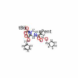 CCCCC[C@@H](CC(=O)OCc1ccccc1)C(=O)N1CCN(C(=O)OC(C)(C)C)[C@H](C(=O)OCc2ccccc2)C1